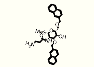 CS[C@@H]1O[C@H](COCc2ccc3ccccc3c2)[C@@H](O)[C@@H](OCc2ccc3ccccc3c2)[C@H]1NC(=O)CCN